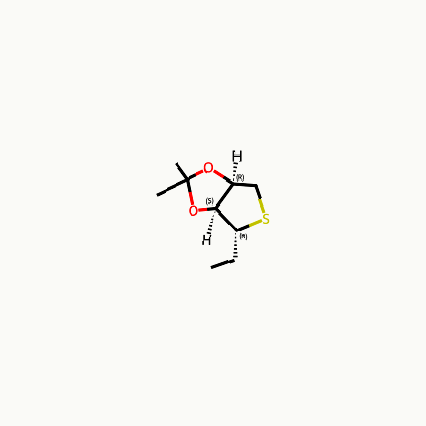 CC[C@H]1SC[C@@H]2OC(C)(C)O[C@@H]21